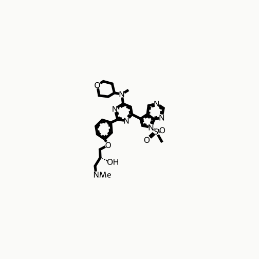 CNC[C@@H](O)COc1cccc(-c2nc(-c3cn(S(C)(=O)=O)c4ncncc34)cc(N(C)C3CCOCC3)n2)c1